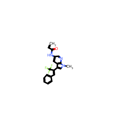 C=CC(=O)Nc1cnc2c(c1)c(C(=Cc1ccccc1)C(F)(F)F)cn2C